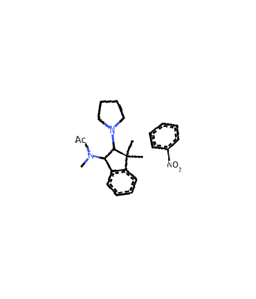 CC(=O)N(C)C1c2ccccc2C(C)(C)C1N1CCCC1.O=[N+]([O-])c1ccccc1